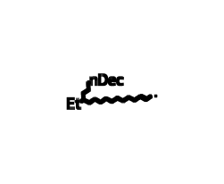 [CH2]C=CCCCCCCCCCC(CC)CCCCCCCCCCCC[CH2]